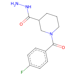 NNC(=O)C1CCCN(C(=O)c2ccc(F)cc2)C1